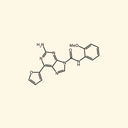 COc1ccccc1NC(=O)n1cnc2c(-c3ccco3)nc(N)nc21